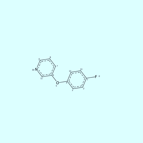 Fc1ccc(Oc2cc[c]nc2)cc1